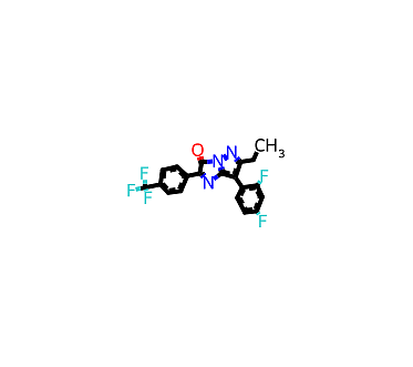 CCc1nn2c(c1-c1ccc(F)cc1F)N=C(c1ccc(C(F)(F)F)cc1)C2=O